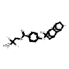 CCC1(Oc2ccc(C(=O)OCC(F)(F)C(=O)O)cc2)CC2CC1C1C3CCC(C3)C21